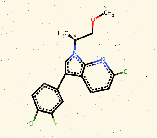 COC[C@H](C)n1cc(-c2ccc(Cl)c(F)c2)c2ccc(Cl)nc21